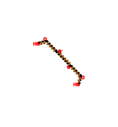 O=C(CSCSCSCSCC[S+]([O-])CSCSCSCSCSC(=O)CSCSCSCSCC(=O)SCSCO)SCSCO